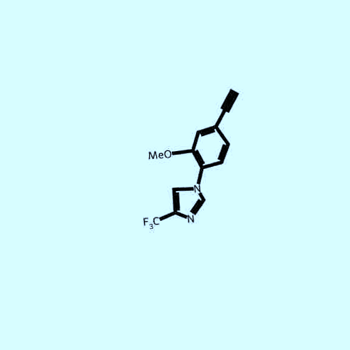 C#Cc1ccc(-n2cnc(C(F)(F)F)c2)c(OC)c1